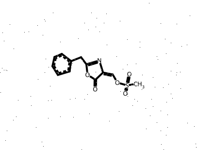 CS(=O)(=O)OC=C1N=C(Cc2ccccc2)OC1=O